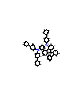 C1=CCC(c2ccc(N(c3ccc(-c4ccccc4)cc3)c3ccc(N(c4ccc(-c5ccccc5)cc4)c4cccc5c4-c4ccccc4C54C5=C(CCC=C5)c5ccccc54)cc3)cc2)C=C1